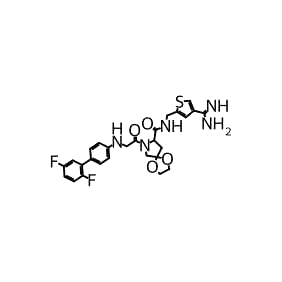 N=C(N)c1csc(CNC(=O)C2CC3(CN2C(=O)CNc2ccc(-c4cc(F)ccc4F)cc2)OCCO3)c1